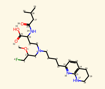 COC(CF)CN(CCCCc1ccc2c(n1)NCCC2)CCC(NC(=O)CC(C)C)C(=O)O